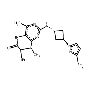 Cc1nc(N[C@H]2C[C@H](n3ccc(C(F)(F)F)n3)C2)nc2c1NC(=O)C(C(C)C)N2C